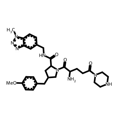 COc1ccc(CC2CC(C(=O)NCc3ccc4c(c3)nnn4C)N(C(=O)C(N)CCC(=O)N3CCNCC3)C2)cc1